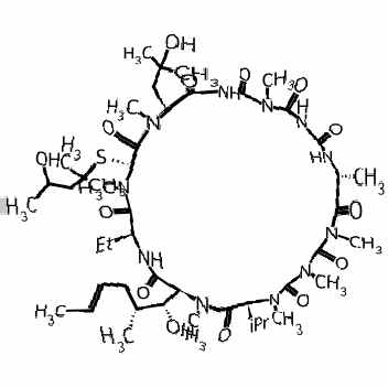 C/C=C/C[C@@H](C)[C@@H](O)[C@H]1C(=O)N[C@@H](CC)C(=O)N(C)[C@H](SC(C)(C)CC(C)O)C(=O)N(C)[C@@H](CC(C)(C)O)C(=O)NC(=O)N(C)C(=O)NC(=O)N[C@H](C)C(=O)N(C)C(=O)N(C)C(=O)N(C)[C@@H](C(C)C)C(=O)N1C